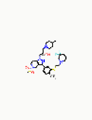 CC1CCN(C[C@H](O)Cn2nc(-c3ccc(C(F)(F)F)c(SCCN4CCCC(F)(F)C4)c3)c3c2CCN(S(C)(=O)=O)C3)CC1